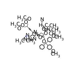 COc1ccc(C(OC[C@H]2O[C@@H](n3nc(C#CC(COC(C)=O)COC(C)=O)c4c(/N=C\N(C)C)ncnc43)CC2OP(OCCC#N)N(C(C)C)C(C)C)(c2ccccc2)c2ccc(OC)cc2)cc1